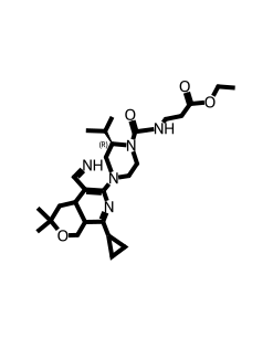 CCOC(=O)CCNC(=O)N1CCN(C2=C(C=N)C3CC(C)(C)OCC3C(C3CC3)=N2)C[C@H]1C(C)C